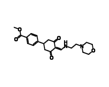 COC(=O)c1ccc(C2CC(=O)C(=CNCCN3CCOCC3)C(=O)C2)cc1